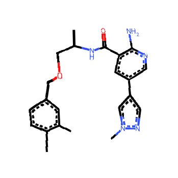 Cc1ccc(COCC(C)NC(=O)c2cc(-c3cnn(C)c3)cnc2N)cc1C